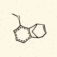 COc1cccc2c1C1C=CC2C1